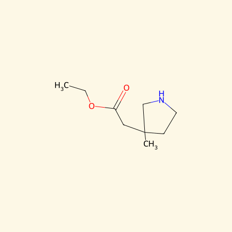 CCOC(=O)CC1(C)CCNC1